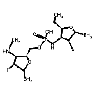 BC1O[C@H](COP(=O)(O)NC2[C@@H](CC)O[C@@H](B)[C@H]2F)[C@H](NC)C1F